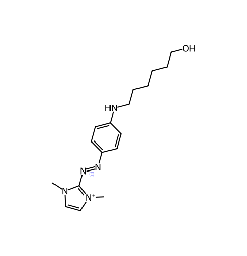 Cn1cc[n+](C)c1/N=N/c1ccc(NCCCCCCO)cc1